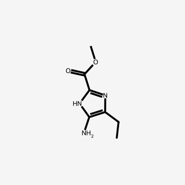 CCc1nc(C(=O)OC)[nH]c1N